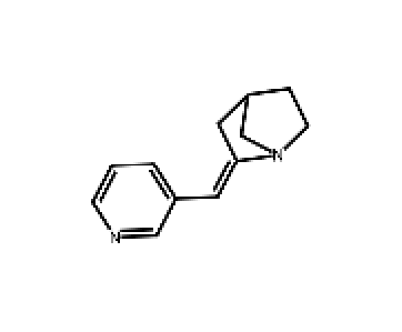 C(=C1CC2CCN1C2)c1cccnc1